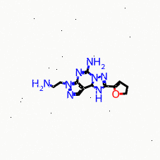 NCCn1ncc2c1N=C(N)N1N=C(C3=CCCO3)NC21